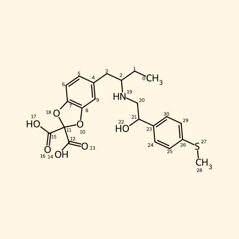 CCC(Cc1ccc2c(c1)OC(C(=O)O)(C(=O)O)O2)NCC(O)c1ccc(SC)cc1